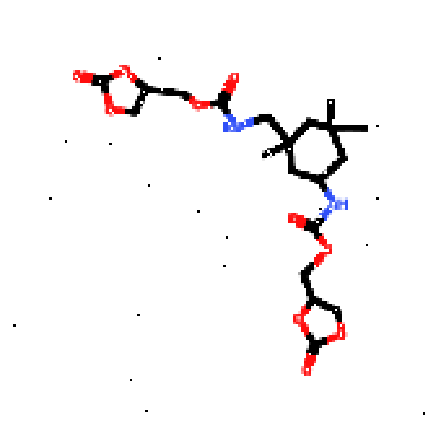 CC1(C)CC(NC(=O)OCC2COC(=O)O2)CC(C)(CNC(=O)OCC2COC(=O)O2)C1